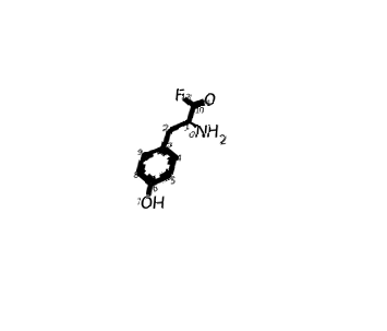 N[C@@H](Cc1ccc(O)cc1)C(=O)F